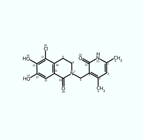 Cc1cc(C)c(CN2CCc3c(cc(O)c(O)c3Cl)C2=O)c(=O)[nH]1